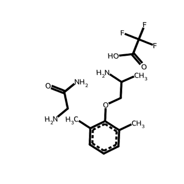 Cc1cccc(C)c1OCC(C)N.NCC(N)=O.O=C(O)C(F)(F)F